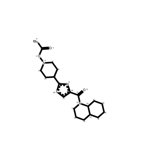 CC(C)(C)C(=O)ON1CCC(c2nc(C(=O)N3CCCC4CCCCC43)cs2)CC1